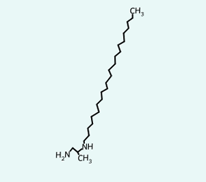 CCCCCCCCCCCCCCCCCCCCCCCNC(C)CN